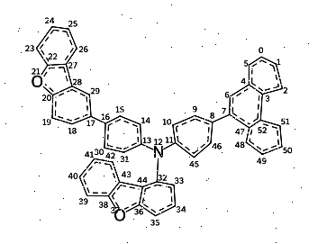 c1ccc2c(c1)cc(-c1ccc(N(c3ccc(-c4ccc5oc6ccccc6c5c4)cc3)c3cccc4oc5ccccc5c34)cc1)c1ccccc12